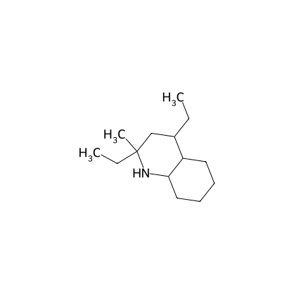 CCC1CC(C)(CC)NC2CCCCC12